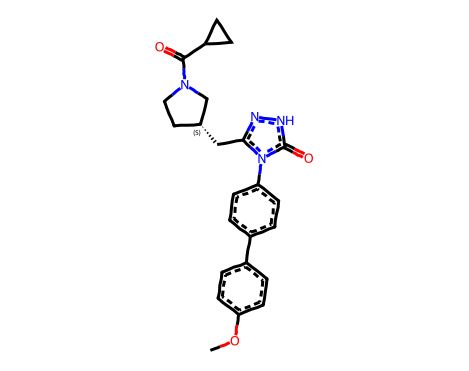 COc1ccc(-c2ccc(-n3c(C[C@@H]4CCN(C(=O)C5CC5)C4)n[nH]c3=O)cc2)cc1